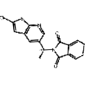 C[C@@H](c1cnc2sc(Cl)cc2c1)N1C(=O)c2ccccc2C1=O